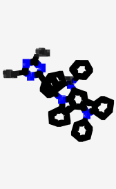 CC(C)(C)c1nc(-c2ccc(-n3c4ccccc4c4c3c(N(c3ccccc3)c3ccccc3)cc3c5ccccc5n(-c5ccccc5)c34)c(C#N)c2)nc(C(C)(C)C)n1